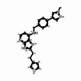 Cn1cc(-c2ccc(CNc3ccnc4[nH]c(CCc5ccoc5)nc34)cc2)cn1